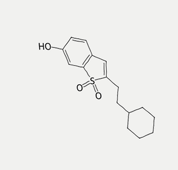 O=S1(=O)C(CCC2CCCCC2)=Cc2ccc(O)cc21